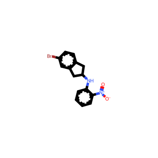 O=[N+]([O-])c1ccccc1NC1Cc2ccc(Br)cc2C1